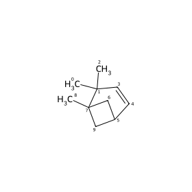 CC1(C)C=CC2CC1(C)C2